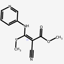 COC(=O)/C(C#N)=C(\Nc1cccnc1)SC